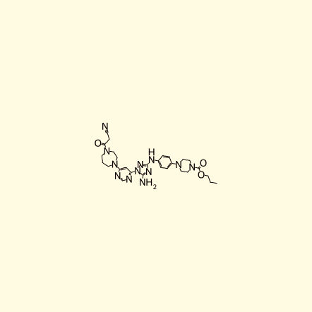 CCCOC(=O)N1CCN(c2ccc(Nc3nc(N)n(-c4cc(N5CCCN(C(=O)CC#N)CC5)ncn4)n3)cc2)CC1